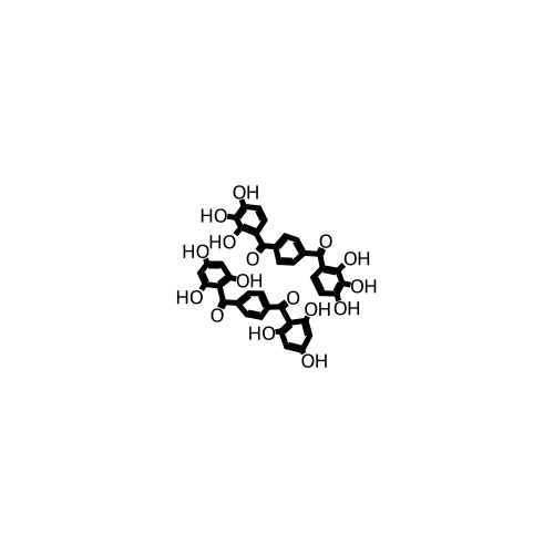 O=C(c1ccc(C(=O)c2c(O)cc(O)cc2O)cc1)c1c(O)cc(O)cc1O.O=C(c1ccc(C(=O)c2ccc(O)c(O)c2O)cc1)c1ccc(O)c(O)c1O